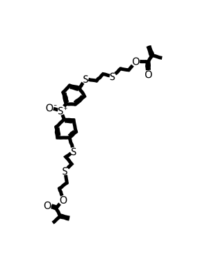 C=C(C)C(=O)OCCSCCSc1ccc([S+]([O-])c2ccc(SCCSCCOC(=O)C(=C)C)cc2)cc1